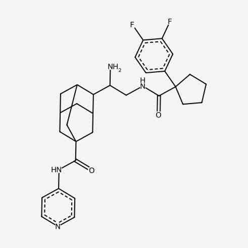 NC(CNC(=O)C1(c2ccc(F)c(F)c2)CCCC1)C1C2CC3CC1CC(C(=O)Nc1ccncc1)(C3)C2